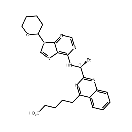 CC[C@H](Nc1ncnc2c1ncn2C1CCCCO1)c1nc(CCCCC(=O)O)c2ccccc2n1